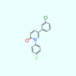 O=c1ccc(-c2cccc(Cl)c2)cn1-c1ccc(F)cc1